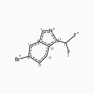 FC(F)n1ncc2cc(Br)ccc21